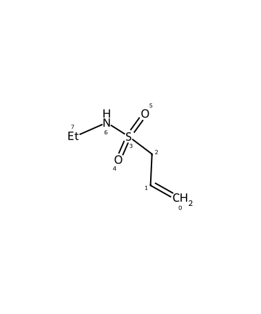 C=CCS(=O)(=O)NCC